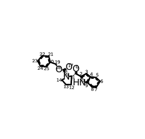 O=C(c1cc2ccccc2[nH]1)[C@@H]1CCCN1C(=O)OCc1ccccc1